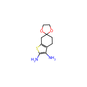 Nc1sc2c(c1N)CCC1(C2)OCCO1